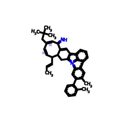 CC=CC1/C=C\C(CC(C)(C)C)=C/C(=N)C2=Cc3c(n4c5cc(-c6ccccc6C)c(C)cc5c5cccc3c54)CC21